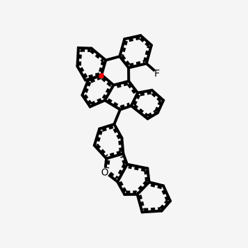 Fc1cccc(-c2ccccc2)c1-c1c2ccccc2c(-c2ccc3oc4cc5ccccc5cc4c3c2)c2ccccc12